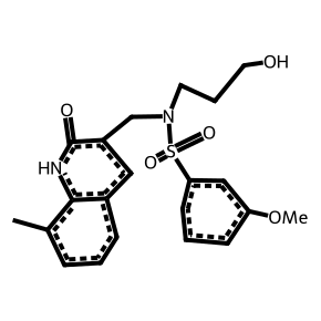 COc1cccc(S(=O)(=O)N(CCCO)Cc2cc3cccc(C)c3[nH]c2=O)c1